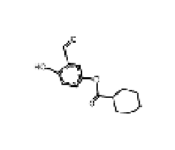 O=Cc1cc(OC(=O)C2CCCCC2)ccc1O